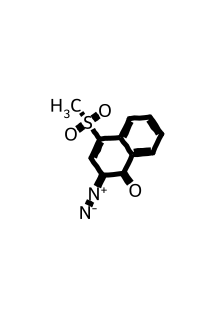 CS(=O)(=O)C1=CC(=[N+]=[N-])C(=O)c2ccccc21